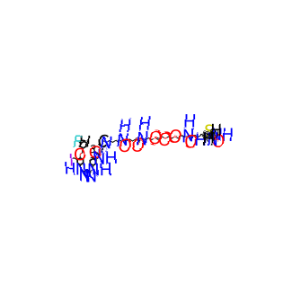 CN(C/C=C/C(=O)Nc1cccc(Nc2cc(Nc3ccc(OCc4cccc(F)c4)c(CI)c3)ncn2)c1)CCCCNC(=O)CCCC(=O)NCCCOCCOCCOCCCNC(=O)CCCC[C@@H]1SC[C@@H]2NC(=O)N[C@@H]21